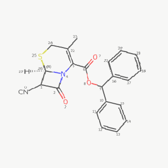 [C-]#[N+]C1C(=O)N2C(C(=O)OC(c3ccccc3)c3ccccc3)=C(C)CS[C@H]12